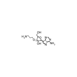 NCCCO[C@H]1[C@@H](O)[C@H](n2cnc3c(N)ncnc32)O[C@@H]1CO